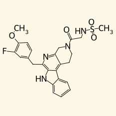 COc1ccc(Cc2nc3c(c4c2[nH]c2ccccc24)CCN(C(=O)CNS(C)(=O)=O)C3)cc1F